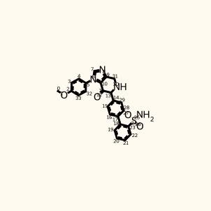 COc1ccc(-n2cnc3c2C(=O)C(c2ccc(-c4ccccc4S(N)(=O)=O)cc2)NC3)cc1